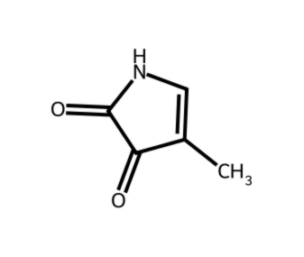 CC1=CNC(=O)C1=O